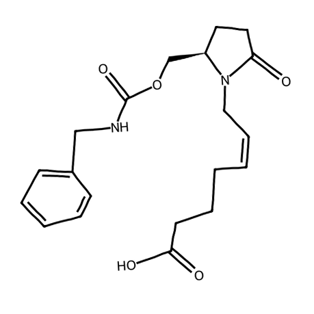 O=C(O)CCC/C=C\CN1C(=O)CC[C@@H]1COC(=O)NCc1ccccc1